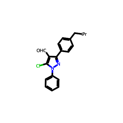 CC(C)Cc1ccc(-c2nn(-c3ccccc3)c(Cl)c2C=O)cc1